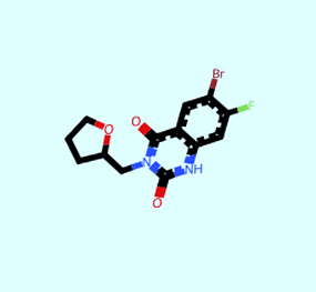 O=c1[nH]c2cc(F)c(Br)cc2c(=O)n1CC1CCCO1